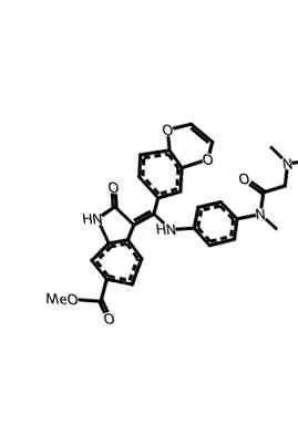 COC(=O)c1ccc2c(c1)NC(=O)C2=C(Nc1ccc(N(C)C(=O)CN(C)C)cc1)c1ccc2c(c1)OC=CO2